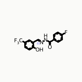 O=C(N/N=C/c1cc(C(F)(F)F)ccc1O)c1ccc(F)cc1